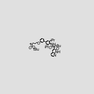 CCCCN(C(=O)Nc1c(C(C)C)cc(-c2cccc(OCCCN(C)C(=O)OC(C)(C)C)c2)cc1C(C)C)c1cc2cccnc2[nH]c1=O